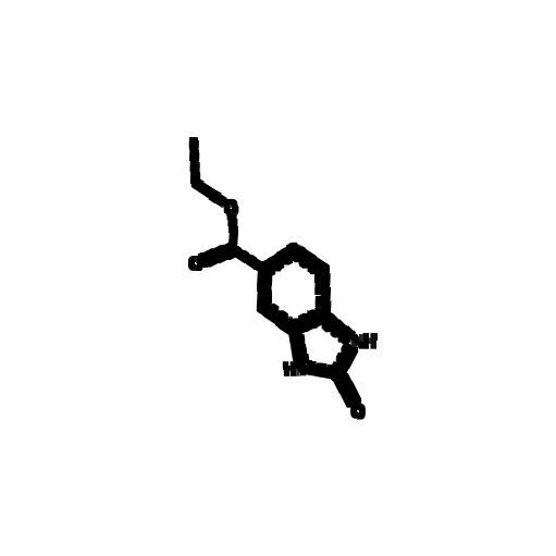 CCOC(=O)c1ccc2[nH]c(=O)[nH]c2c1